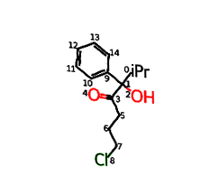 CC(C)C(O)(C(=O)CCCCl)c1ccccc1